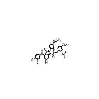 COc1ccc(CNC(=O)c2c3n(c(=O)n2-c2ccc(OCC(F)(F)F)cc2)C(C(=O)c2ccc(Br)c(Cl)c2)CNC3)c(OC(F)F)c1